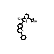 N#Cc1c(-c2ccc3ccc(-c4ccccc4)nc3c2)nn2c(C3CNC3)ccnc12